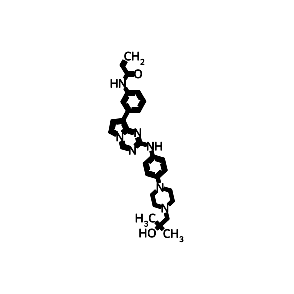 C=CC(=O)Nc1cccc(-c2ccn3cnc(Nc4ccc(N5CCN(CC(C)(C)O)CC5)cc4)nc23)c1